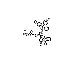 COc1ccc(C(OC[C@H]2O[C@@H](n3ccc(=O)n(C(=O)c4ccccc4)c3=O)[C@@H](OCCC(=O)OCC(F)(F)F)C2O)(c2ccccc2)c2ccc(OC)cc2)cc1